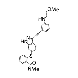 CNC(=O)c1ccccc1Sc1ccc2c(C#Cc3cccc(NCCOC)c3)n[nH]c2c1